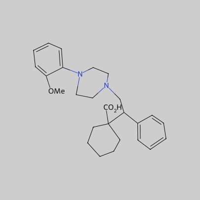 COc1ccccc1N1CCN(CC(c2ccccc2)C2(C(=O)O)CCCCC2)CC1